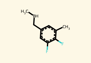 CBCc1cc(C)c(F)c(F)c1